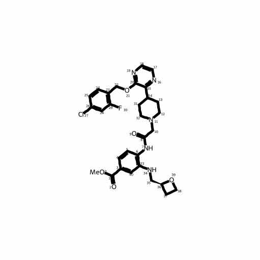 COC(=O)c1ccc(NC(=O)CN2CCC(c3nccnc3OCc3ccc(Cl)cc3F)CC2)c(NC[C@@H]2CCO2)c1